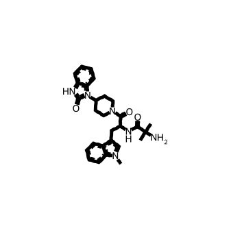 Cn1cc(CC(NC(=O)C(C)(C)N)C(=O)N2CCC(n3c(=O)[nH]c4ccccc43)CC2)c2ccccc21